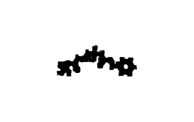 CC(C)(CNCC(=O)OC(C)(C)C)CC(=O)OCc1ccccc1